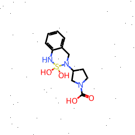 O=C(O)N1CCC(N2Cc3ccccc3NS2(O)O)C1